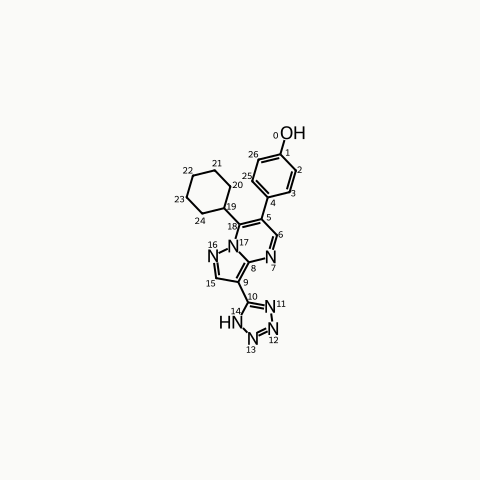 Oc1ccc(-c2cnc3c(-c4nnn[nH]4)cnn3c2C2CCCCC2)cc1